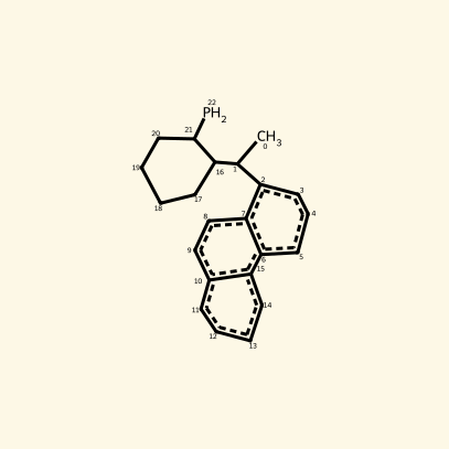 CC(c1cccc2c1ccc1ccccc12)C1CCCCC1P